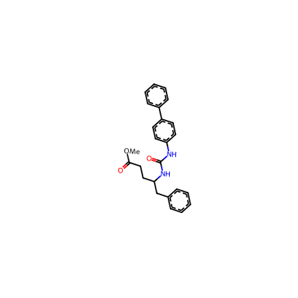 COC(=O)CCC(Cc1ccccc1)NC(=O)Nc1ccc(-c2ccccc2)cc1